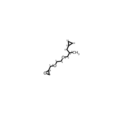 CC(COCCOCC1CO1)CC1CC1